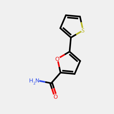 NC(=O)c1ccc(-c2cccs2)o1